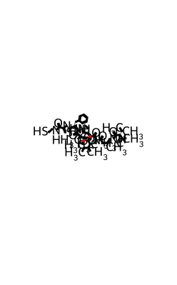 CCC(C)CC(OC)[C@@H](C(=O)N(C)C(=O)C[C@@H](C)CNC(=O)[C@H](C(C)C)N(C)C)[C@H]1CCN[C@@H]1C(C)(COC)C(=O)N[C@@H](Cc1ccccc1)c1nc(C(=O)NCCS)cs1